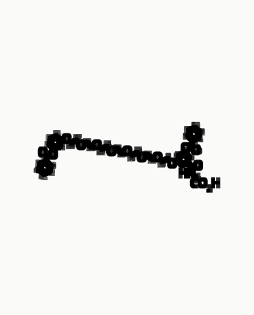 O=C(O)CNC(=O)c1cc(OCCOCCOCCOCCOCCOCCOCCOc2cccc(OC(=O)c3ccccc3)c2)cc(OC(=O)c2ccccc2)c1